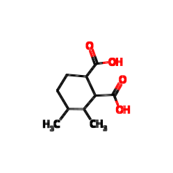 CC1CCC(C(=O)O)C(C(=O)O)C1C